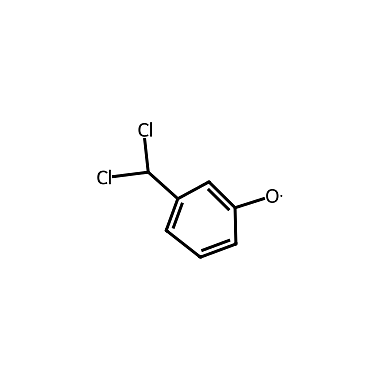 [O]c1cccc(C(Cl)Cl)c1